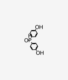 O=[PH](c1ccc(O)cc1)c1ccc(O)cc1